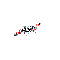 C=COCCOC(c1ccc(C(OCOCC)(C(F)(F)F)C(F)(F)F)cc1)(C(F)(F)F)C(F)(F)F